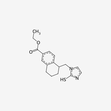 CCOC(=O)c1ccc2c(c1)CCCC2Cn1ccnc1S